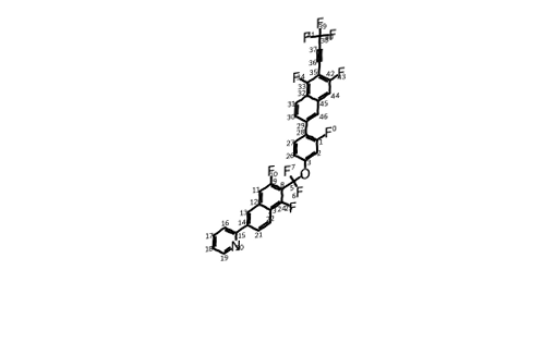 Fc1cc(OC(F)(F)c2c(F)cc3cc(-c4ccccn4)ccc3c2F)ccc1-c1ccc2c(F)c(C#CC(F)(F)F)c(F)cc2c1